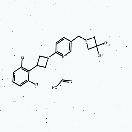 CC1(O)CN(Cc2ccc(N3CC(c4c(Cl)cccc4Cl)C3)nc2)C1.O=CO